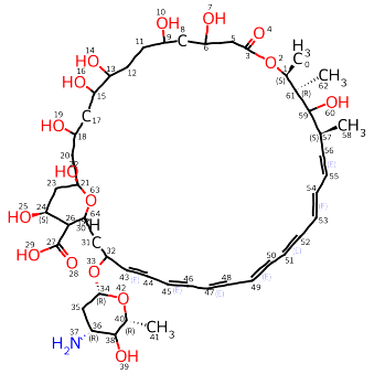 C[C@@H]1OC(=O)CC(O)CC(O)CCC(O)C(O)CC(O)CC2(O)C[C@H](O)C(C(=O)O)[C@H](CC(O[C@H]3C[C@@H](N)C(O)[C@@H](C)O3)/C=C/C=C/C=C/C=C/C=C/C=C/C=C/[C@H](C)C(O)[C@H]1C)O2